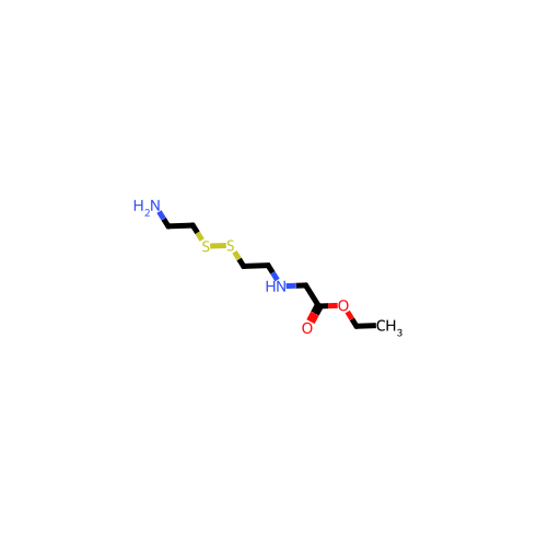 CCOC(=O)CNCCSSCCN